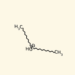 CCCCCCCCCCCCP(=O)(O)CCCCCCCCCCC